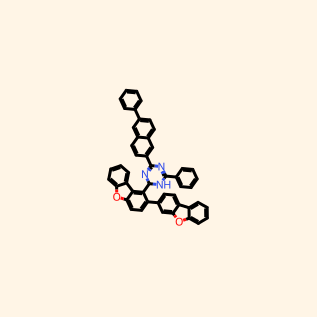 c1ccc(C2=NC(c3ccc4cc(-c5ccccc5)ccc4c3)=NC(c3c(-c4ccc5c(c4)oc4ccccc45)ccc4oc5ccccc5c34)N2)cc1